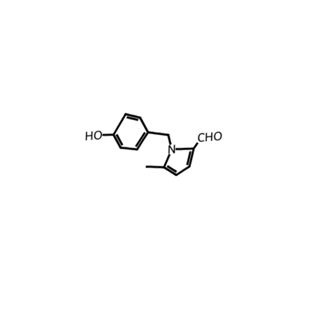 Cc1ccc(C=O)n1Cc1ccc(O)cc1